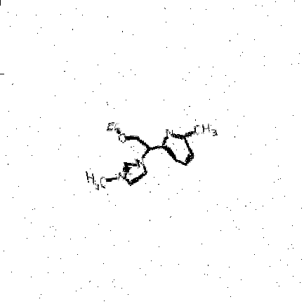 CCOCC(c1cccc(C)n1)n1cc[n+](C)c1